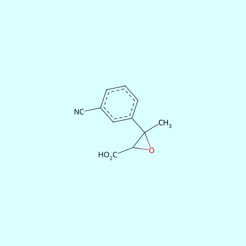 CC1(c2cccc(C#N)c2)OC1C(=O)O